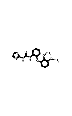 COc1cccc(Oc2ccccc2NC(=O)Nc2nccs2)c1OC